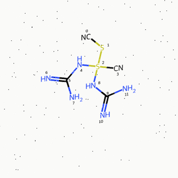 N#CSS(C#N)(NC(=N)N)NC(=N)N